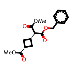 COC(=O)C(C(=O)OCc1ccccc1)[C@H]1C[C@@H](C(=O)OC)C1